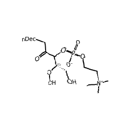 CCCCCCCCCCCC(=O)C(OP(=O)([O-])OCC[N+](C)(C)C)[C@H](CO)OO